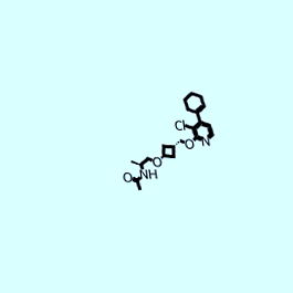 CC(=O)N[C@@H](C)CO[C@H]1C[C@H](COc2nccc(C3=CCCCC3)c2Cl)C1